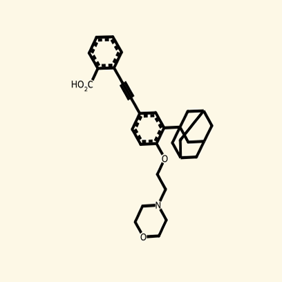 O=C(O)c1ccccc1C#Cc1ccc(OCCN2CCOCC2)c(C23CC4CC(CC(C4)C2)C3)c1